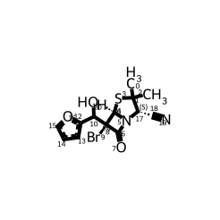 CC1(C)S[C@H]2N(C(=O)[C@]2(Br)C(O)c2ccco2)[C@H]1C#N